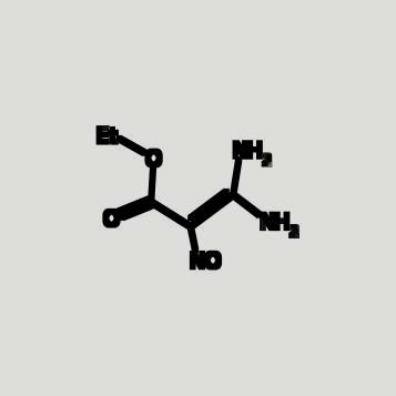 CCOC(=O)C(N=O)=C(N)N